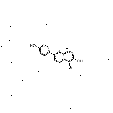 Oc1ccc(-c2ccc3c(Br)c(O)ccc3n2)cc1